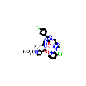 O=C(NC(Cn1c(-c2ccc(Cl)cc2)nn(Cc2ncn(-c3ncccc3Cl)n2)c1=O)C(F)(F)F)C1CCN(C(=O)O)C1